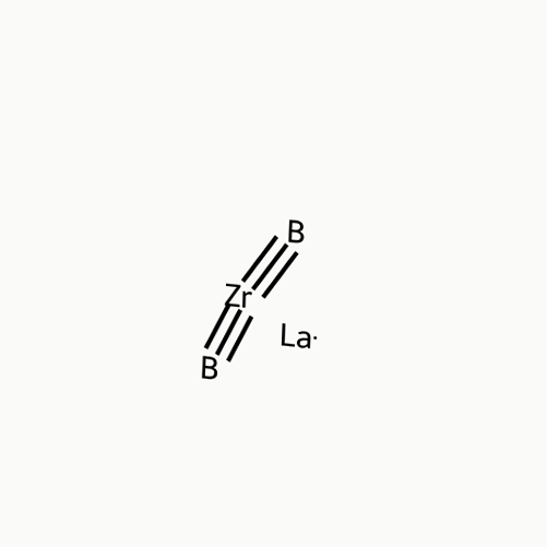 [B]#[Zr]#[B].[La]